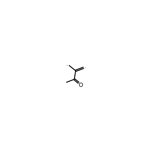 [CH]=C([CH2])C(C)=O